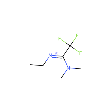 CC/N=C(\N(C)C)C(F)(F)F